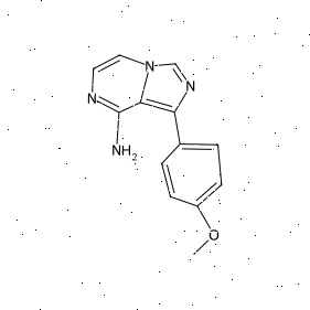 COc1ccc(-c2ncn3ccnc(N)c23)cc1